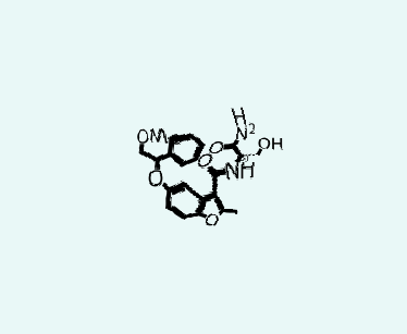 COCC(Oc1ccc2oc(C)c(C(=O)N[C@@H](CO)C(N)=O)c2c1)c1ccccc1